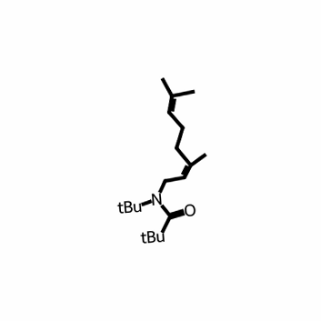 CC(C)=CCC/C(C)=C\CN(C(=O)C(C)(C)C)C(C)(C)C